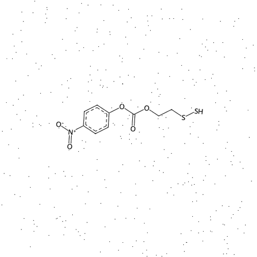 O=C(OCCSS)Oc1ccc([N+](=O)[O-])cc1